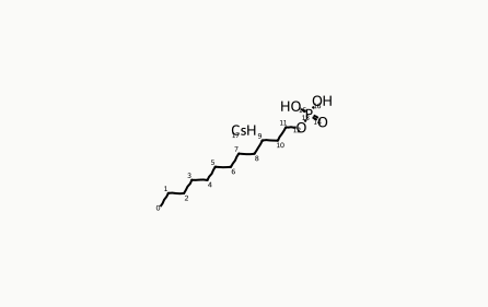 CCCCCCCCCCCCOP(=O)(O)O.[CsH]